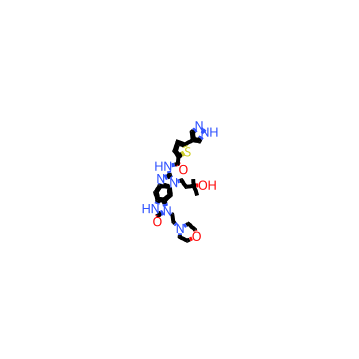 CC(C)(O)CCn1c(NC(=O)c2ccc(-c3cn[nH]c3)s2)nc2cc3[nH]c(=O)n(CCN4CCOCC4)c3cc21